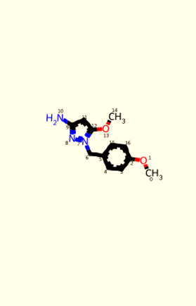 COc1ccc(Cn2nc(N)cc2OC)cc1